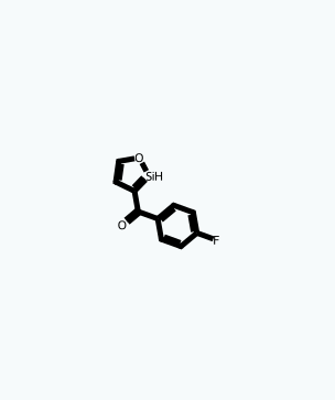 O=C(c1ccc(F)cc1)c1cco[siH]1